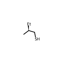 CC[C@H](C)CS